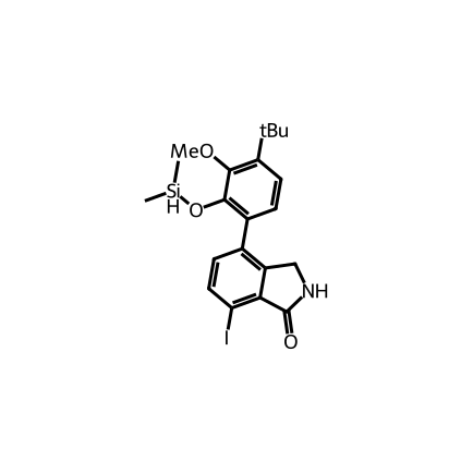 COc1c(C(C)(C)C)ccc(-c2ccc(I)c3c2CNC3=O)c1O[SiH](C)C